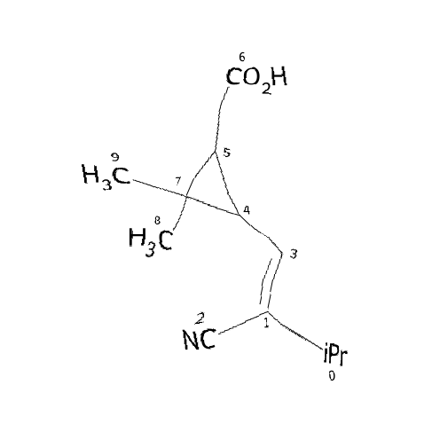 CC(C)C(C#N)=CC1C(C(=O)O)C1(C)C